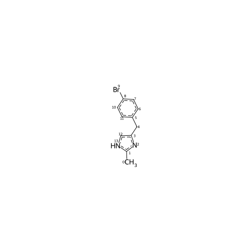 Cc1nc(Cc2ccc(Br)cc2)c[nH]1